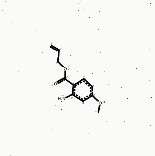 C=CCOC(=O)c1ccc(OC)cc1N